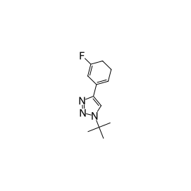 CC(C)(C)n1cc(C2=CCCC(F)=C2)nn1